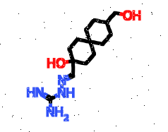 N=C(N)NN=CC1(O)CCC2(CCC(CO)CC2)CC1